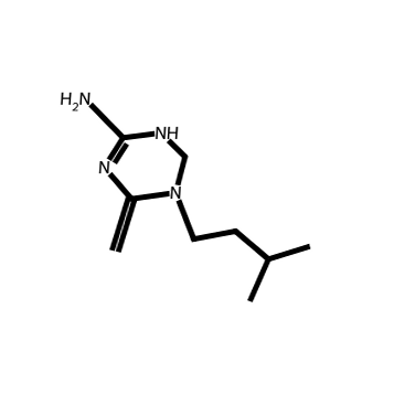 C=C1N=C(N)NCN1CCC(C)C